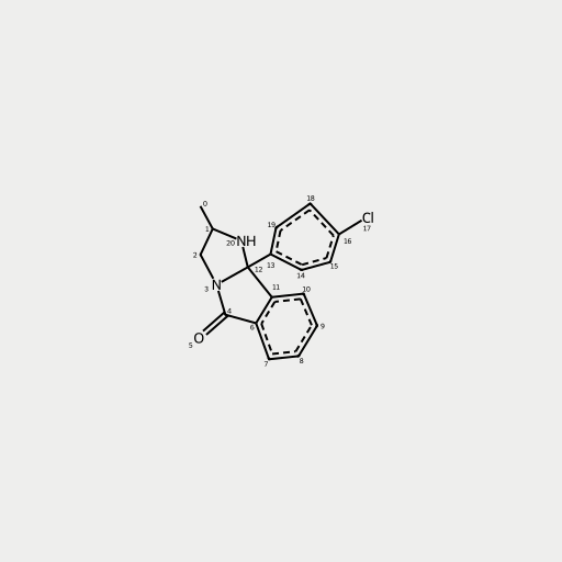 CC1CN2C(=O)c3ccccc3C2(c2ccc(Cl)cc2)N1